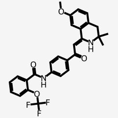 COc1ccc2c(c1)C(=CC(=O)c1ccc(NC(=O)c3ccccc3OC(F)(F)F)cc1)NC(C)(C)C2